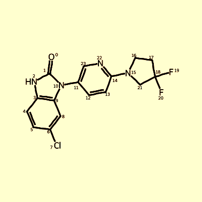 O=c1[nH]c2ccc(Cl)cc2n1-c1ccc(N2CCC(F)(F)C2)nc1